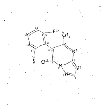 Cc1nc2ncnn2c(Cl)c1-c1c(F)cccc1F